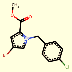 COC(=O)c1cc(Br)cn1Cc1ccc(Cl)cc1